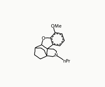 CCCN1CCC23c4cccc(OC)c4OC2C2CCC3(CC2)C1